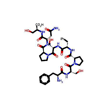 CC(C)C[C@H](NC(=O)[C@@H]1CCCN1C(=O)[C@H](CO)NC(=O)[C@@H](N)Cc1ccccc1)C(=O)N[C@@H](CO)C(=O)N1CCC[C@H]1C(=O)N[C@@H](CC(N)=O)C(=O)N[C@@H](CO)C(=O)O